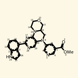 COC(=O)c1cncc(N2CC3COCCN3c3nc(-c4cccc5[nH]ccc45)ncc32)c1